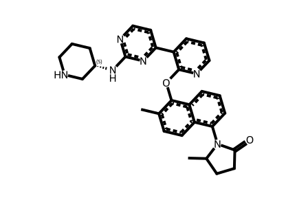 Cc1ccc2c(N3C(=O)CCC3C)cccc2c1Oc1ncccc1-c1ccnc(N[C@H]2CCCNC2)n1